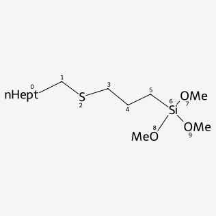 CCCCCCCCSCCC[Si](OC)(OC)OC